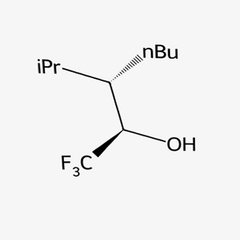 CCCC[C@@H](C(C)C)[C@@H](O)C(F)(F)F